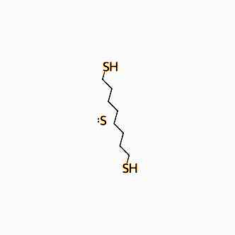 SCCCCCCCCS.[S]